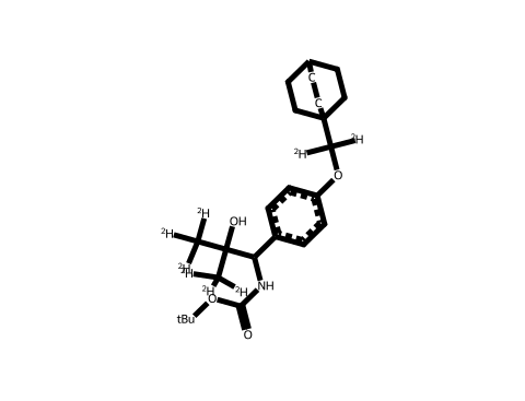 [2H]C([2H])([2H])C(O)(C(NC(=O)OC(C)(C)C)c1ccc(OC([2H])([2H])C23CCC(CC2)CC3)cc1)C([2H])([2H])[2H]